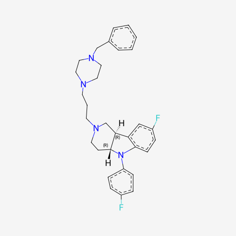 Fc1ccc(N2c3ccc(F)cc3[C@@H]3CN(CCCN4CCN(Cc5ccccc5)CC4)CC[C@H]32)cc1